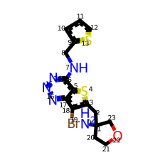 NC1(Cc2sc3c(NCc4cccs4)nnnc3c2Br)CCOC1